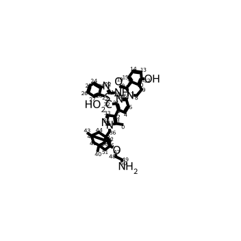 Cc1c(-c2ccc(N3CCc4c(O)cccc4C3C(=O)Nc3nc4ccccc4s3)nc2C(=O)O)cnn1CC12CC3(C)CC(C)(C1)CC(OCCN)(C3)C2